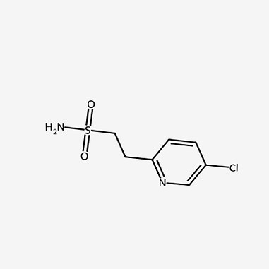 NS(=O)(=O)CCc1ccc(Cl)cn1